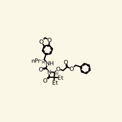 CCC[C@@H](NC(=O)N1C(=O)C(CC)(CC)[C@@H]1OCC(=O)OCc1ccccc1)c1ccc2c(c1)OCO2